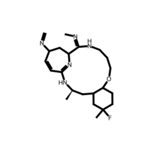 C=NC1C=CC2=NC(C1)/C(=N\C)NCCCOC1CCC(C)(F)CC1C[C@@H](C)N2